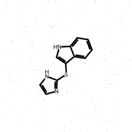 c1ccc2c(Sc3ncc[nH]3)c[nH]c2c1